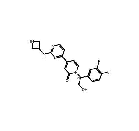 O=c1cc(-c2ccnc(NC3CNC3)n2)ccn1[C@H](CO)c1ccc(Cl)c(F)c1